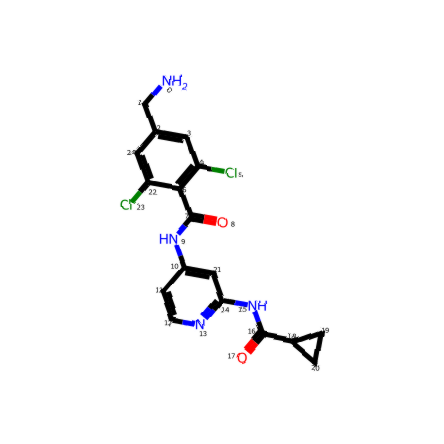 NCc1cc(Cl)c(C(=O)Nc2ccnc(NC(=O)C3CC3)c2)c(Cl)c1